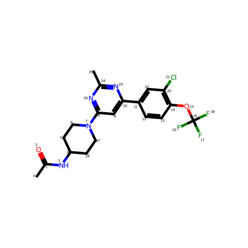 CC(=O)NC1CCN(c2cc(-c3ccc(OC(F)(F)F)c(Cl)c3)nc(C)n2)CC1